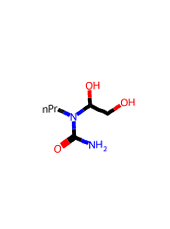 [CH2]CCN(C(N)=O)C(O)CO